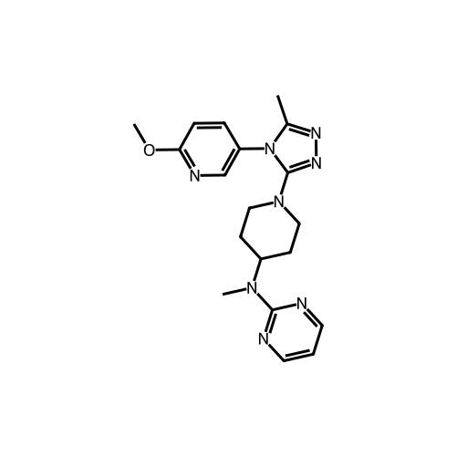 COc1ccc(-n2c(C)nnc2N2CCC(N(C)c3ncccn3)CC2)cn1